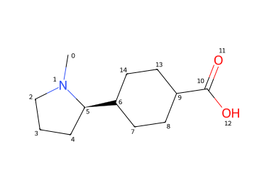 CN1CCC[C@@H]1C1CCC(C(=O)O)CC1